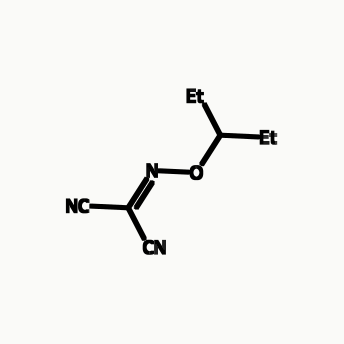 CCC(CC)ON=C(C#N)C#N